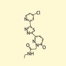 CCNC(=O)Cn1nc(-c2nnc(-c3cc(Cl)ccn3)s2)ccc1=O